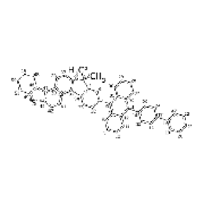 CC1(C)c2cc(-c3c4ccccc4c(-c4ccc(-c5ccccc5)cc4)c4ccccc34)ccc2-c2c1ccc1c2ccc2sc3c(c21)CCC=C3